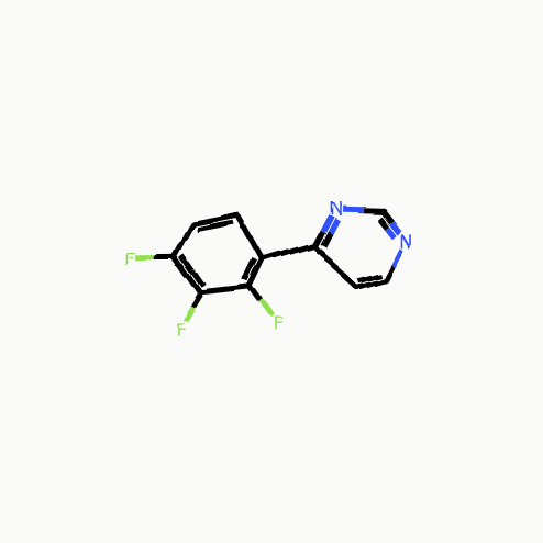 Fc1ccc(-c2ccncn2)c(F)c1F